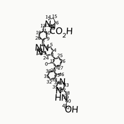 Cc1c(-c2ccn3c(-c4ccc(CN5CCC[C@@H]5C(=O)O)cc4)nnc3c2)cccc1-c1cccc(-c2cnc(CNCCO)cn2)c1C